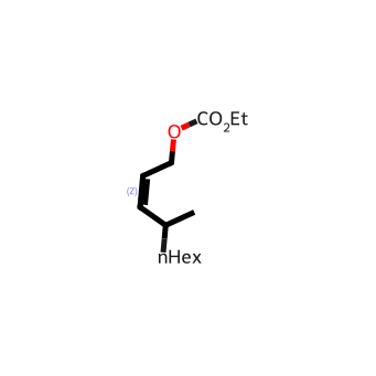 CCCCCCC(C)/C=C\COC(=O)OCC